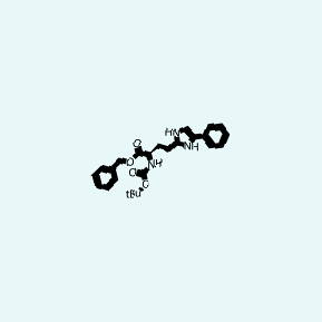 CC(C)(C)OC(=O)N[C@H](CCC1NC=C(c2ccccc2)N1)C(=O)OCc1ccccc1